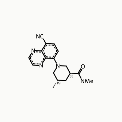 CNC(=O)[C@H]1C[C@H](C)CN(c2ccc(C#N)c3nccnc23)C1